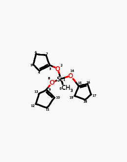 C[Si](OC1=CCCC1)(OC1=CCCC1)OC1=CCCC1